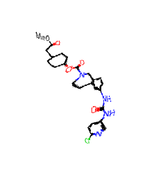 COC(=O)CC1CCC(OC(=O)N2CCc3cc(NC(=O)Nc4ccc(Cl)nc4)ccc3C2)CC1